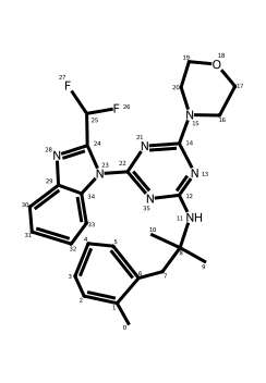 Cc1ccccc1CC(C)(C)Nc1nc(N2CCOCC2)nc(-n2c(C(F)F)nc3ccccc32)n1